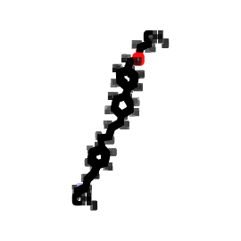 C/C=C/CCc1ccc(CCCCC2CCC(c3ccc(COCCC)cc3)CC2)cc1